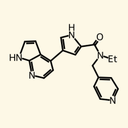 CCN(Cc1ccncc1)C(=O)c1cc(-c2ccnc3[nH]ccc23)c[nH]1